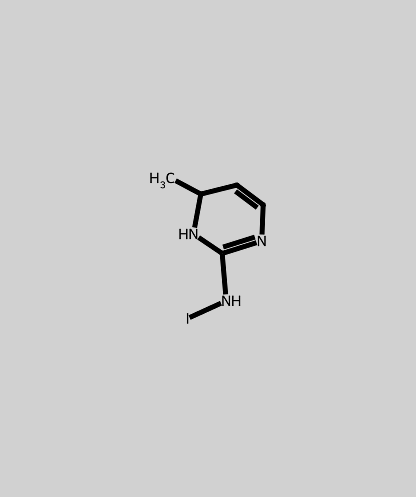 CC1C=CN=C(NI)N1